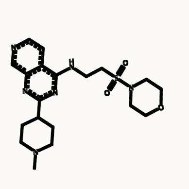 CN1CCC(c2nc(NCCS(=O)(=O)N3CCOCC3)c3ccncc3n2)CC1